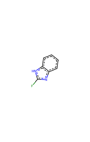 Fc1nc2ccccc2[nH]1